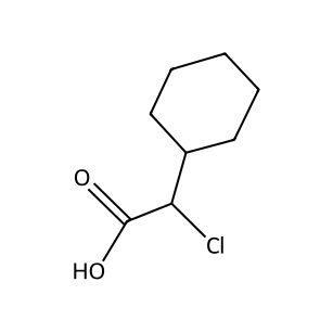 O=C(O)C(Cl)C1CCCCC1